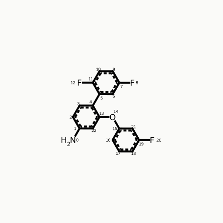 Nc1ccc(-c2cc(F)ccc2F)c(Oc2cccc(F)c2)c1